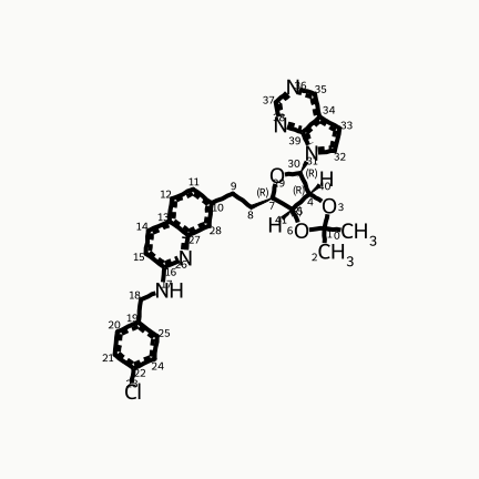 CC1(C)O[C@@H]2[C@H](O1)[C@@H](CCc1ccc3ccc(NCc4ccc(Cl)cc4)nc3c1)O[C@H]2n1ccc2cncnc21